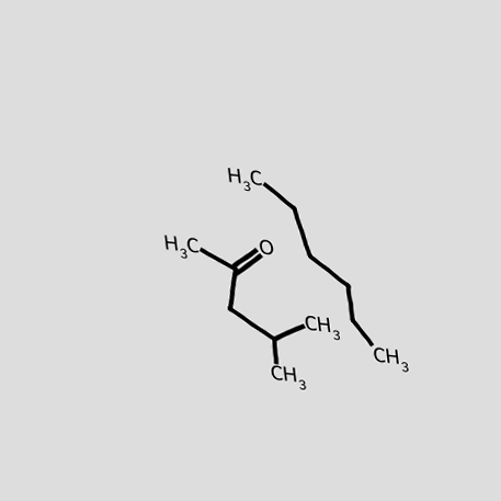 CC(=O)CC(C)C.CCCCCC